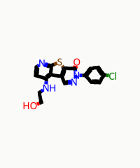 O=c1c2sc3nccc(NCCO)c3c2cnn1-c1ccc(Cl)cc1